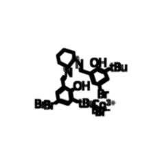 CC(C)(C)c1cc(Br)cc(C=N[C@@H]2CCCC[C@H]2N=Cc2cc(Br)cc(C(C)(C)C)c2O)c1O.[Br-].[Br-].[Br-].[Co+3]